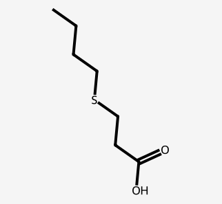 CCCCSCCC(=O)O